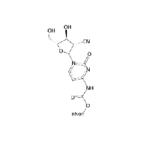 CCCCCCCCCOC(=O)Nc1ccn(C2O[C@H](CO)[C@@H](O)[C@@H]2C#N)c(=O)n1